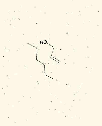 C=CCO.CCCCCC